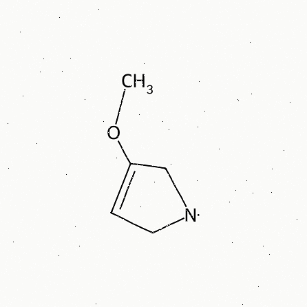 COC1=CC[N]C1